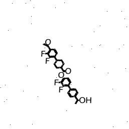 CC(O)c1ccc(-c2ccc(OC(=O)C3CCC(c4ccc(C5CO5)c(F)c4F)CC3)c(F)c2F)cc1